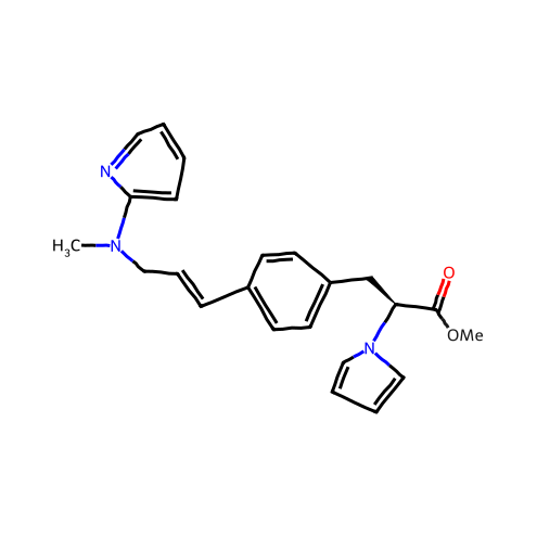 COC(=O)[C@H](Cc1ccc(/C=C/CN(C)c2ccccn2)cc1)n1cccc1